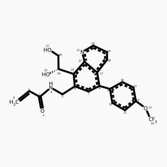 C=CC(=O)NCc1cc(-c2ccc(OC(F)(F)F)cc2)c2cccnc2c1[C@H](O)CO